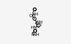 O=C(NCc1ccccc1)N1CC=C(c2cc3c(Nc4ccc5[nH]ncc5c4)ccnc3[nH]2)CC1